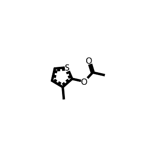 CC(=O)Oc1sccc1C